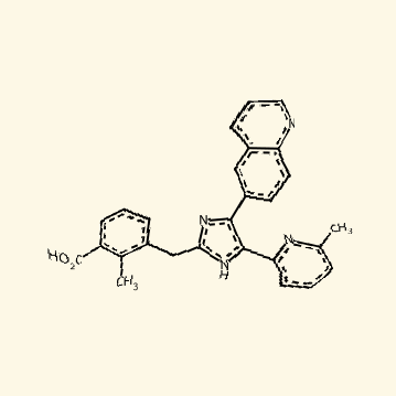 Cc1cccc(-c2[nH]c(Cc3cccc(C(=O)O)c3C)nc2-c2ccc3ncccc3c2)n1